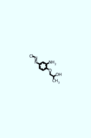 CC(O)COc1ccc(N=NCl)cc1N